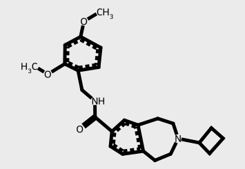 COc1ccc(CNC(=O)c2ccc3c(c2)CCN(C2CCC2)CC3)c(OC)c1